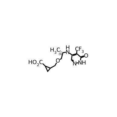 C[C@@H](COCC1CC1C(=O)O)Nc1cn[nH]c(=O)c1C(F)(F)F